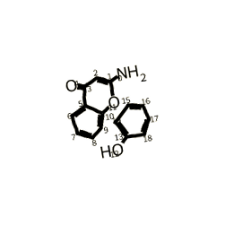 Nc1cc(=O)c2ccccc2o1.Oc1ccccc1